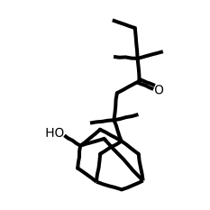 CCC(C)(C)C(=O)CC(C)(C)C12CC3CC(CC(O)(C3)C1)C2